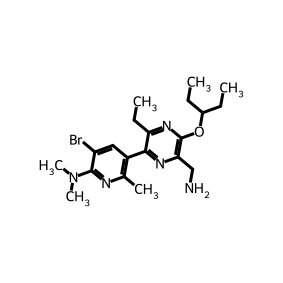 CCc1nc(OC(CC)CC)c(CN)nc1-c1cc(Br)c(N(C)C)nc1C